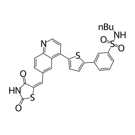 CCCCNS(=O)(=O)c1cccc(-c2ccc(-c3ccnc4ccc(C=C5SC(=O)NC5=O)cc34)s2)c1